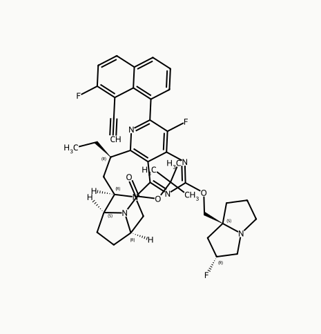 C#Cc1c(F)ccc2cccc(-c3nc4c5c(nc(OC[C@@]67CCCN6C[C@H](F)C7)nc5c3F)N3C[C@H]5CC[C@@H]([C@H]3C[C@H]4CC)N5C(=O)OC(C)(C)C)c12